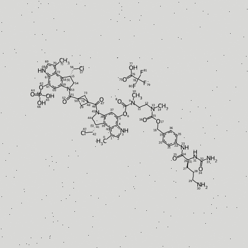 Cc1c[nH]c2c(OC(=O)N(C)CCN(C)C(=O)OCc3ccc(NC(=O)[C@H](CCCN)NC(N)=O)cc3)cc3c(c12)[C@H](CCl)CN3C(=O)C12CC(C(=O)N3C[C@@H](CCl)c4c3cc(OP(=O)(O)O)c3[nH]cc(C)c43)(C1)C2.O=C(O)C(F)(F)F